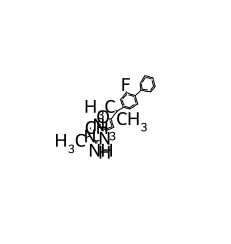 CN(C)C(=N)Nc1cc(C(C)(C)c2ccc(-c3ccccc3)c(F)c2)on1